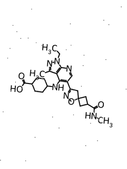 CCn1nc(C)c2c(NC3CCC(C(=O)O)CC3)c(C3=NOC4(C3)CC(C(=O)NC)C4)cnc21